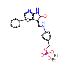 CCOP(=O)(OCC)OCc1ccc(NC=C2C(=O)Nc3ncc(-c4ccccc4)cc32)cc1